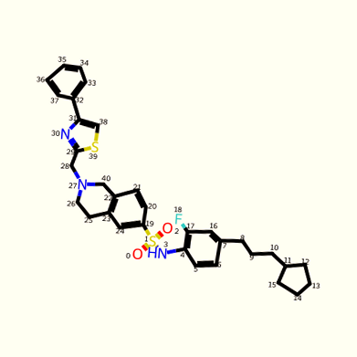 O=S(=O)(Nc1ccc(CCCC2CCCC2)cc1F)c1ccc2c(c1)CCN(Cc1nc(-c3ccccc3)cs1)C2